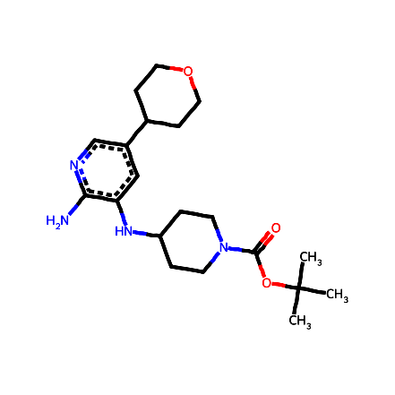 CC(C)(C)OC(=O)N1CCC(Nc2cc(C3CCOCC3)cnc2N)CC1